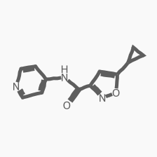 O=C(Nc1ccncc1)c1cc(C2CC2)on1